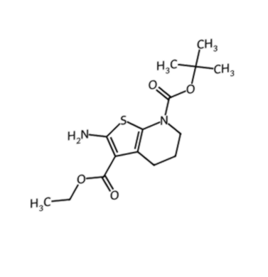 CCOC(=O)c1c(N)sc2c1CCCN2C(=O)OC(C)(C)C